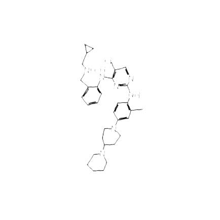 Cc1cc(N2CCC(N3CCCCC3)CC2)ccc1Nc1ncc(Cl)c(Nc2ccccc2CNCC2CC2)n1